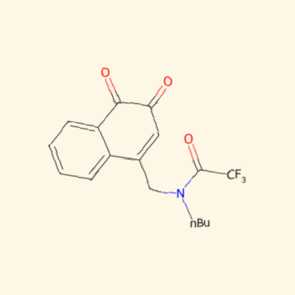 CCCCN(CC1=CC(=O)C(=O)c2ccccc21)C(=O)C(F)(F)F